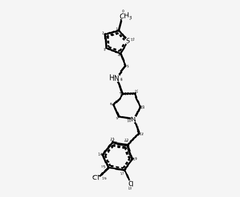 Cc1ccc(CNC2CCN(Cc3ccc(Cl)c(Cl)c3)CC2)s1